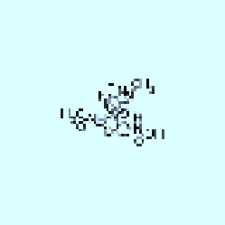 CCn1cc(S(=O)(=O)N2CC(CNC(C)=O)Oc3ccc(NC(=O)O)cc32)c(C(F)(F)F)n1